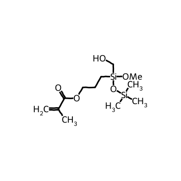 C=C(C)C(=O)OCCC[Si](CO)(OC)O[Si](C)(C)C